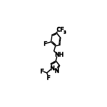 Fc1cc(C(F)(F)F)ccc1CNc1cnn(C(F)F)c1